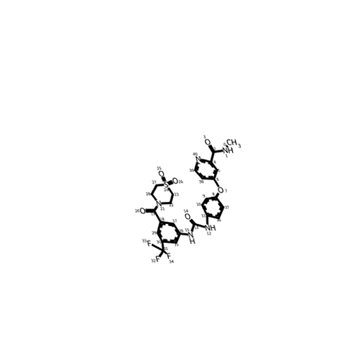 CNC(=O)c1cc(Oc2ccc(NC(=O)Nc3cc(C(=O)N4CCS(=O)(=O)CC4)cc(C(F)(F)F)c3)cc2)ccn1